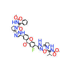 COC(=O)N[C@H](C(=O)N1CCC[C@H]1c1ncc(-c2cc3oc4ccc(-c5cnc([C@@H]6CCCN6C(=O)[C@H](NC(=O)OC)c6ccccc6)[nH]5)cc4c(=O)c3cc2F)[nH]1)C(C)C